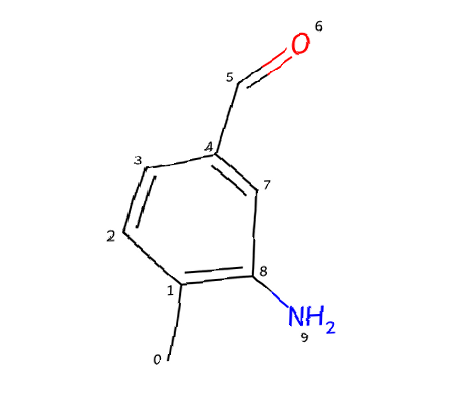 Cc1ccc(C=O)cc1N